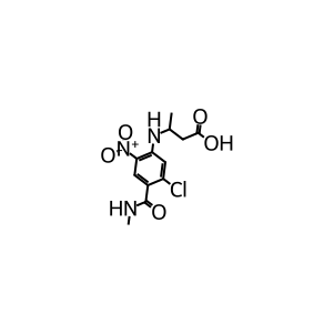 CNC(=O)c1cc([N+](=O)[O-])c(NC(C)CC(=O)O)cc1Cl